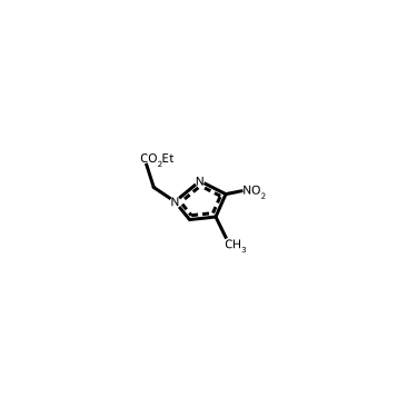 CCOC(=O)Cn1cc(C)c([N+](=O)[O-])n1